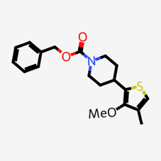 COc1c(C)csc1C1CCN(C(=O)OCc2ccccc2)CC1